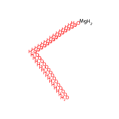 O.O.O.O.O.O.O.O.O.O.O.O.O.O.O.O.O.O.O.O.O.O.O.O.O.O.O.O.O.O.[MgH2]